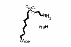 CCCCCCCCCCCCCCCCS(=O)(=O)OCCN.[NaH]